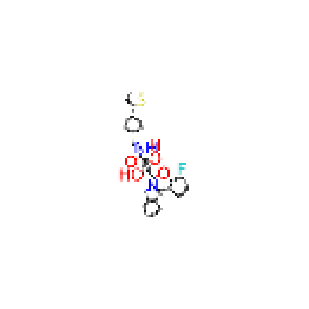 O=C(NCc1ccc(C2=CCCS2)cc1)[C@H](O)[C@@H](O)C(=O)N1Cc2ccccc2[C@@H]1c1cccc(F)c1